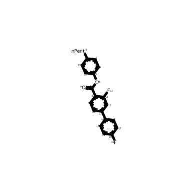 CCCCCc1ccc(OC(=O)c2ccc(-c3ccc(F)cc3)cc2F)cc1